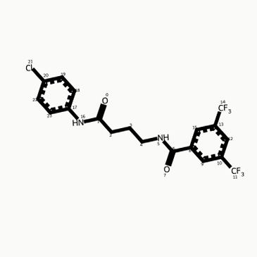 O=C(CCCNC(=O)c1cc(C(F)(F)F)cc(C(F)(F)F)c1)Nc1ccc(Cl)cc1